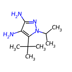 CC(C)n1nc(N)c(N)c1C(C)(C)C